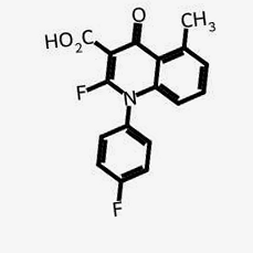 Cc1cccc2c1c(=O)c(C(=O)O)c(F)n2-c1ccc(F)cc1